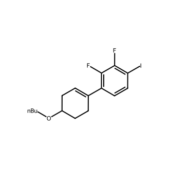 CCCCOC1CC=C(c2ccc(I)c(F)c2F)CC1